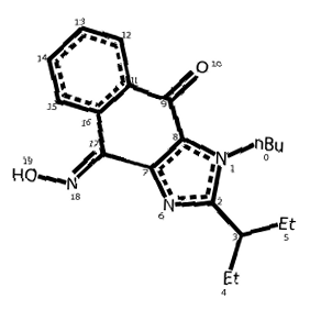 CCCCn1c(C(CC)CC)nc2c1C(=O)c1ccccc1/C2=N\O